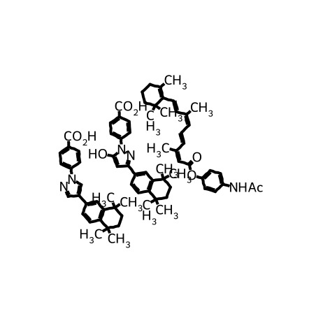 CC(=O)Nc1ccc(OC(=O)C=C(C)C=CC=C(C)C=CC2=C(C)CCCC2(C)C)cc1.CC1(C)CCC(C)(C)c2cc(-c3cc(O)n(-c4ccc(C(=O)O)cc4)n3)ccc21.CC1(C)CCC(C)(C)c2cc(-c3cnn(-c4ccc(C(=O)O)cc4)c3)ccc21